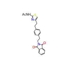 CC(=O)Nc1nc(CCc2ccc(CCN3C(=O)c4ccccc4C3=O)cc2)cs1